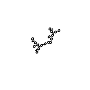 CC1(C)c2ccccc2-c2ccc(N(c3ccc(-c4ccc(-c5ccc6c(-c7ccc(-c8ccc(N(c9ccc(-c%10ccccc%10)cc9)c9ccc%10c(c9)C(C)(C)c9ccccc9-%10)cc8-c8ccccc8)cc7)cccc6c5)cc4)cc3)c3ccc(-c4ccc(-c5ccc6ccccc6c5)cc4)c(-c4ccccc4)c3)cc21